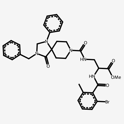 COC(=O)C(CNC(=O)N1CCC2(CC1)C(=O)N(Cc1ccccc1)CN2c1ccccc1)NC(=O)c1c(C)cccc1Br